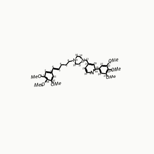 COc1cc(/C=C/CCCN2CCN(Cc3ccnc(-c4cc(OC)c(OC)c(OC)c4)c3)CC2)cc(OC)c1OC